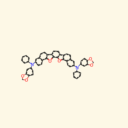 c1ccc(N(c2ccc3c(c2)OCO3)c2ccc3c(ccc4c5ccc6c7ccc8cc(N(c9ccccc9)c9ccc%10c(c9)OCO%10)ccc8c7oc6c5oc34)c2)cc1